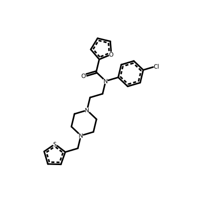 O=C(c1ccco1)N(CCN1CCN(Cc2cccs2)CC1)c1ccc(Cl)cc1